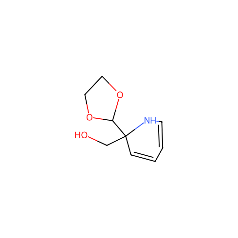 OCC1(C2OCCO2)C=CC=CN1